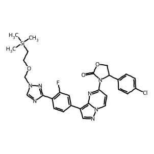 C[Si](C)(C)CCOCn1cnc(-c2ccc(-c3cnn4ccc(N5C(=O)OCC5c5ccc(Cl)cc5)nc34)cc2F)n1